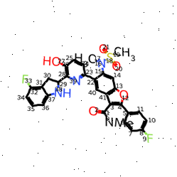 CNC(=O)c1c(-c2ccc(F)cc2)oc2cc(N(C)S(C)(=O)=O)c(-c3ccc(O)c(C4Cc5c(F)cccc5N4)n3)cc12